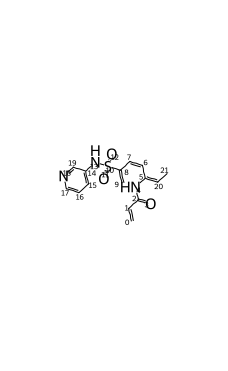 C=CC(=O)NC(/C=C\C(=C)S(=O)(=O)Nc1cccnc1)=C/C